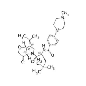 CC(C)[C@H]1CN(C(=O)[C@H](CC(C)(C)C)NC(=O)c2ccc(N3CCN(C)CC3)cc2)[C@@H]2C(=O)CO[C@H]12